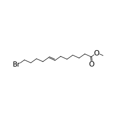 COC(=O)CCCCC/C=C/CCCCBr